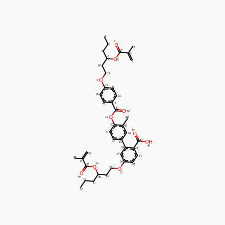 C=C(C)C(=O)OC(CCC)CCOc1ccc(C(=O)Oc2ccc(-c3cc(OCCC(CCC)OC(=O)C(=C)C)ccc3C(=O)O)cc2C)cc1